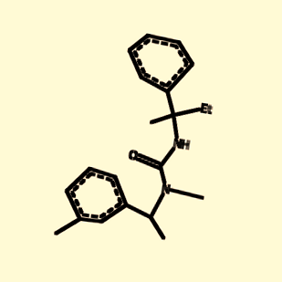 CCC(C)(NC(=O)N(C)C(C)c1cccc(C)c1)c1ccccc1